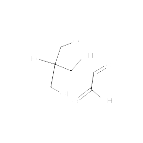 CCC(CO)(CO)CO.O=CC(=O)O